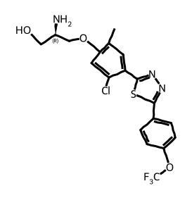 Cc1cc(-c2nnc(-c3ccc(OC(F)(F)F)cc3)s2)c(Cl)cc1OC[C@H](N)CO